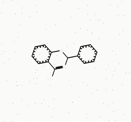 NC1=NC(c2ccccc2)Nc2ccccc21